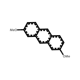 COc1ccc2cc3ccc(OC)cc3cc2c1